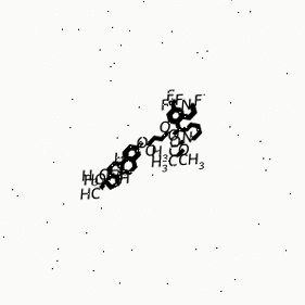 C#C[C@]1(O)CC[C@H]2[C@@H]3CCc4cc(OC(=O)CCC(=O)OC(c5ccc(C(F)(F)F)c6nc(F)ccc56)C5CCCCN5C(=O)OC(C)(C)C)ccc4[C@H]3CC[C@@]21C